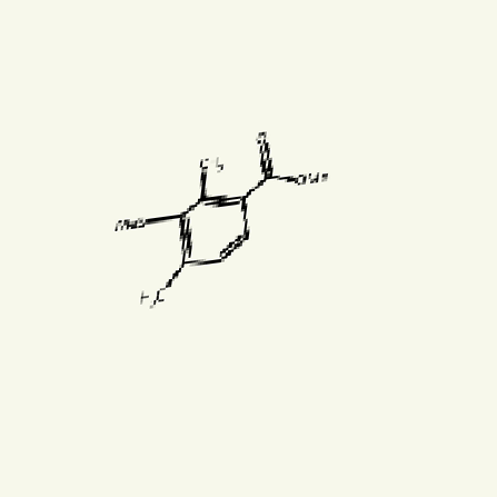 COC(=O)c1ccc(C)c(SC)c1C